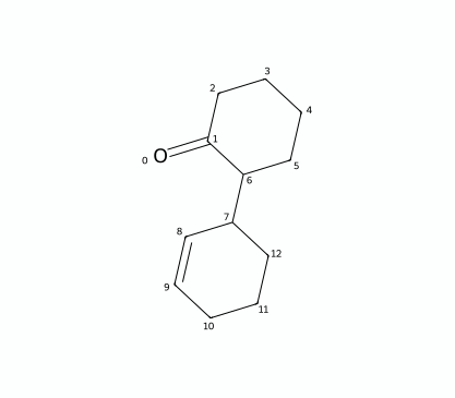 O=C1CCCCC1C1C=CCCC1